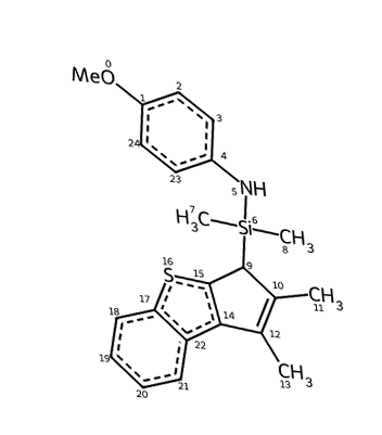 COc1ccc(N[Si](C)(C)C2C(C)=C(C)c3c2sc2ccccc32)cc1